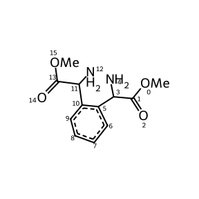 COC(=O)C(N)c1ccccc1C(N)C(=O)OC